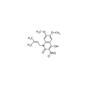 COc1cc2c(O)c([N+](=O)[O-])c(=O)n(CC=C(C)C)c2cc1OC